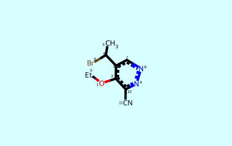 CCOc1c(C(C)Br)cnnc1C#N